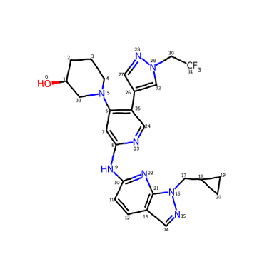 O[C@H]1CCCN(c2cc(Nc3ccc4cnn(CC5CC5)c4n3)ncc2-c2cnn(CC(F)(F)F)c2)C1